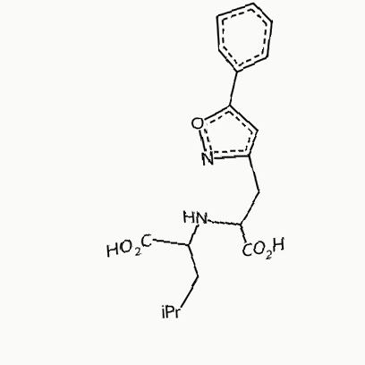 CC(C)CC(NC(Cc1cc(-c2ccccc2)on1)C(=O)O)C(=O)O